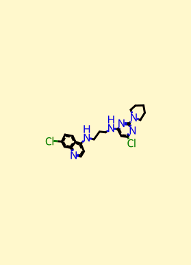 Clc1ccc2c(NCCCNc3cc(Cl)nc(N4CCCCC4)n3)ccnc2c1